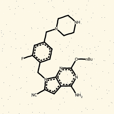 CCCCOc1nc(N)c2cc(C#N)n(Cc3ccc(CN4CCNCC4)cc3F)c2n1